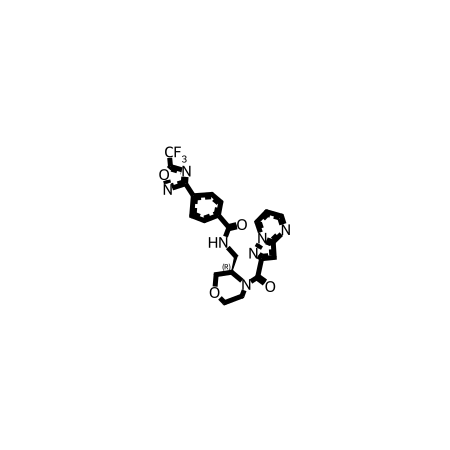 O=C(NC[C@@H]1COCCN1C(=O)c1cc2ncccn2n1)c1ccc(-c2noc(C(F)(F)F)n2)cc1